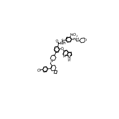 O=C(NSc1ccc(NCC2CCOCC2)c([N+](=O)[O-])c1)c1ccc(C2CCN(CC3=C(c4ccc(Cl)cc4)CC4(CCC4)CC3)CC2)cc1Oc1cnc2[nH]ccc2c1